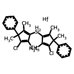 CC1=C(Cl)C(C)(c2ccccc2)C(C)=C1[SiH2]C1=C(C)C(C)(c2ccccc2)C(Cl)=C1C.[Hf]